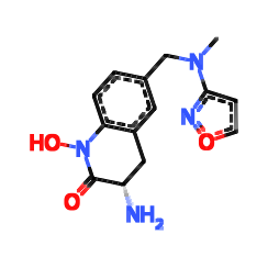 CN(Cc1ccc2c(c1)C[C@H](N)C(=O)N2O)c1ccon1